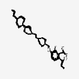 CCCC1CCC(C2CCC(CCC3CCC(COc4ccc(C(=O)CC)c(C(F)F)c4F)CC3)CC2)CC1